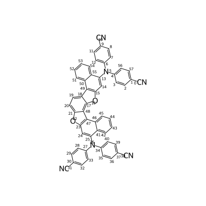 N#Cc1ccc(N(c2ccc(C#N)cc2)c2cc3oc4c(ccc5oc6cc(N(c7ccc(C#N)cc7)c7ccc(C#N)cc7)c7ccccc7c6c54)c3c3ccccc23)cc1